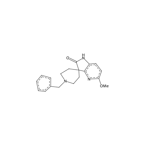 COc1ccc2c(n1)C1(CCN(Cc3ccccc3)CC1)C(=O)N2